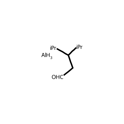 CC(C)C(CC=O)C(C)C.[AlH3]